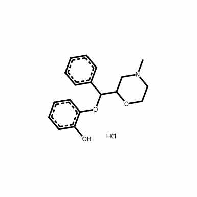 CN1CCOC(C(Oc2ccccc2O)c2ccccc2)C1.Cl